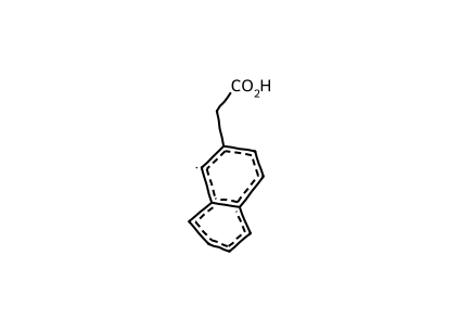 O=C(O)Cc1[c]c2ccccc2cc1